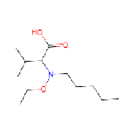 CCCCCN(OCC)C(C(=O)O)C(C)C